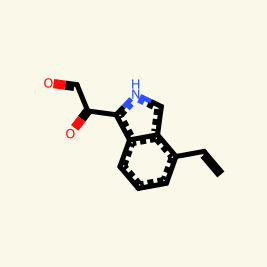 C=Cc1cccc2c(C(=O)C=O)[nH]cc12